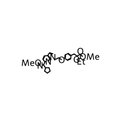 CCOC(Cc1ccc(OCCn2ccc3ccc(/C(=N\OC)C4CCCC4)nc32)cc1)C(=O)OC